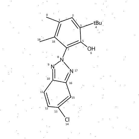 Cc1cc(C(C)(C)C)c(O)c(-n2nc3ccc(Cl)cc3n2)c1C